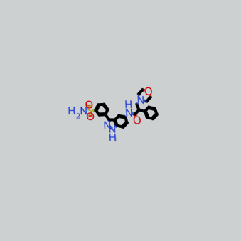 NS(=O)(=O)c1cccc(-c2n[nH]c3ccc(NC(=O)C(CN4CCOCC4)c4ccccc4)cc23)c1